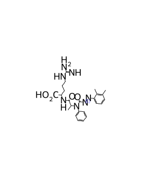 Cc1cccc(/N=N/C(=O)N(c2ccccc2)C(C)C(=O)NC(CCCNC(=N)N)C(=O)O)c1C